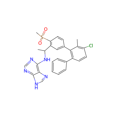 Cc1c(Cl)ccc(-c2ccccc2)c1-c1ccc(S(C)(=O)=O)c(C(C)Nc2ncnc3[nH]cnc23)c1